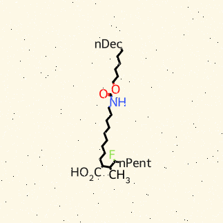 CCCCCCCCCCCCCCCCOC(=O)NCCCCCCCCCC(C(=O)O)C(C)C(F)CCCCC